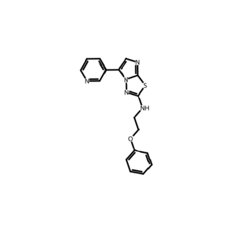 c1ccc(OCCNc2nn3c(-c4cccnc4)cnc3s2)cc1